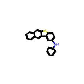 c1ccc(Nc2ccc3sc4cc5ccccc5cc4c3c2)cc1